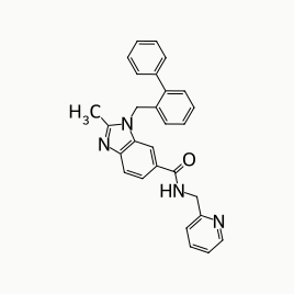 Cc1nc2ccc(C(=O)NCc3ccccn3)cc2n1Cc1ccccc1-c1ccccc1